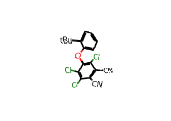 CC(C)(C)c1ccccc1Oc1c(Cl)c(Cl)c(C#N)c(C#N)c1Cl